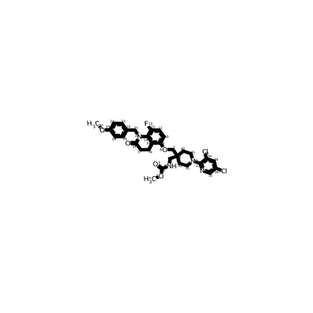 COC(=O)NCC1(COc2ccc(F)c3c2CCC(=O)N3Cc2ccc(OC)cc2)CCN(c2ncc(Cl)cc2Cl)CC1